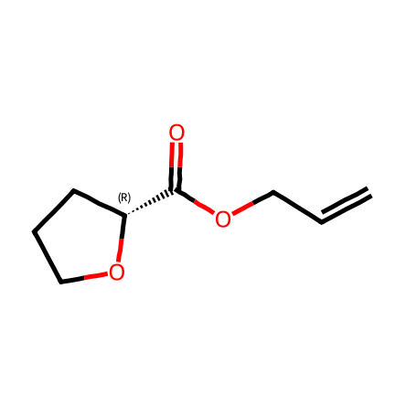 C=CCOC(=O)[C@H]1CCCO1